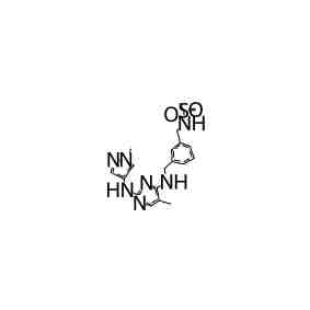 Cc1cnc(Nc2cnn(C)c2)nc1NCc1cccc(CNS(C)(=O)=O)c1